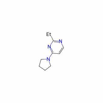 CCc1nccc(N2CCCC2)n1